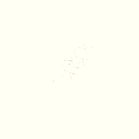 CO/C=C\[C@H]1CC[C@H]2[C@@H]3CC[C@@H]4C[C@](C)(O)CC[C@@H]4[C@H]3CC[C@]12C